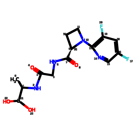 CC(NC(=O)CNC(=O)[C@@H]1CCN1c1ncc(F)cc1F)B(O)O